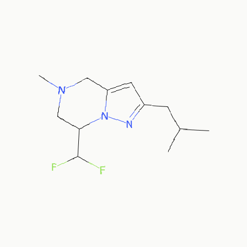 CC(C)Cc1cc2n(n1)C(C(F)F)CN(C)C2